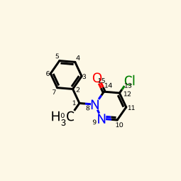 CC(c1ccccc1)n1nccc(Cl)c1=O